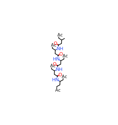 CC(=O)CCC(CC(C)=O)NC(=O)CC(CC(C)=O)NC(=O)CC(CC(C)=O)NC(=O)CC(CC(C)=O)NC(=O)CC(C)CC(C)=O